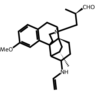 C=CNC1CC[C@@]23C[C@H](C)C1C21CCN(C[C@@H](C)C=O)C3Cc2ccc(OC)cc21